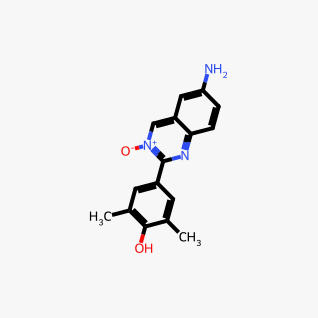 Cc1cc(-c2nc3ccc(N)cc3c[n+]2[O-])cc(C)c1O